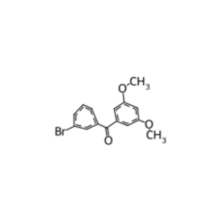 COc1cc(OC)cc(C(=O)c2cccc(Br)c2)c1